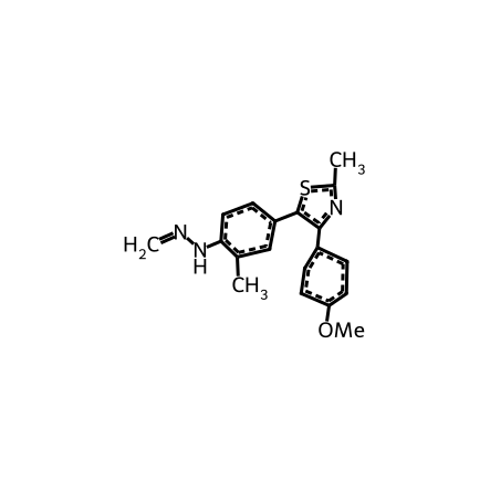 C=NNc1ccc(-c2sc(C)nc2-c2ccc(OC)cc2)cc1C